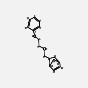 [c]1ccc(OCCOCC2CC3C=CC2C3)cc1